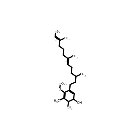 CCCC/C=C(\C)CCC/C(C)=C/CCC(C)CCC1=CC(O)C(C)C(C)=C1OCCCCCCCC